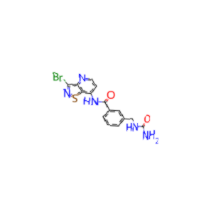 NC(=O)NCc1cccc(C(=O)Nc2ccnc3c(Br)nsc23)c1